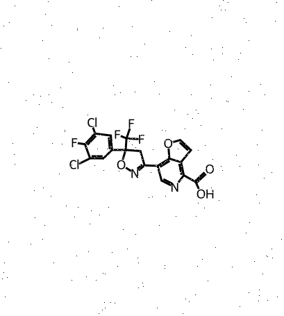 O=C(O)c1ncc(C2=NOC(c3cc(Cl)c(F)c(Cl)c3)(C(F)(F)F)C2)c2occc12